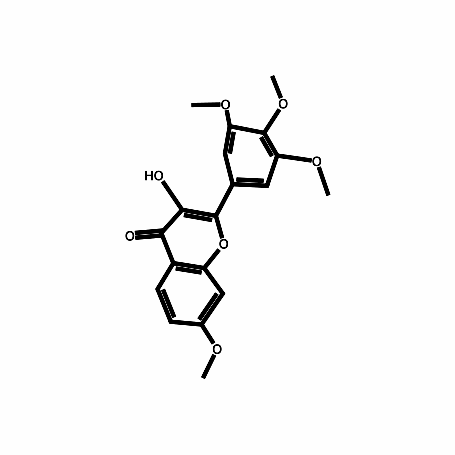 COc1ccc2c(=O)c(O)c(-c3cc(OC)c(OC)c(OC)c3)oc2c1